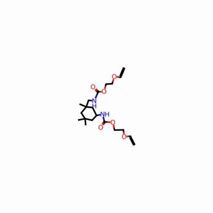 C=COCCOC(=O)NCC1(C)CC(NC(=O)OCCOC=C)CC(C)(C)C1